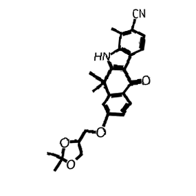 Cc1c(C#N)ccc2c3c([nH]c12)C(C)(C)c1cc(OCC2COC(C)(C)O2)ccc1C3=O